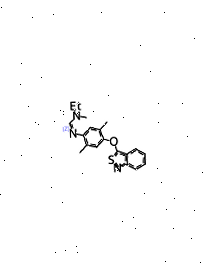 CCN(C)/C=N\c1cc(C)c(Oc2snc3ccccc23)cc1C